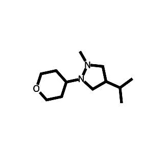 CC(C)C1CN(C)N(C2CCOCC2)C1